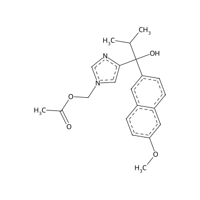 COc1ccc2cc(C(O)(c3cn(COC(C)=O)cn3)C(C)C)ccc2c1